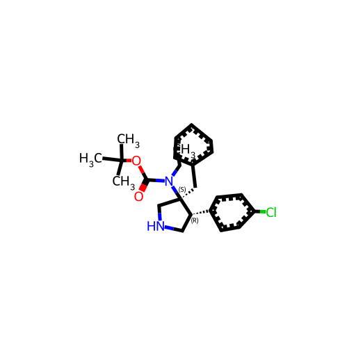 CCN(C(=O)OC(C)(C)C)[C@]1(Cc2ccccc2)CNC[C@H]1c1ccc(Cl)cc1